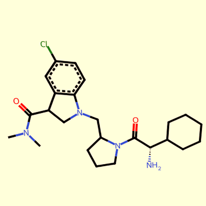 CN(C)C(=O)C1CN(CC2CCCN2C(=O)[C@@H](N)C2CCCCC2)c2ccc(Cl)cc21